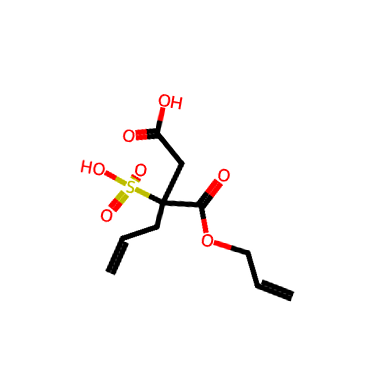 C=CCOC(=O)C(CC=C)(CC(=O)O)S(=O)(=O)O